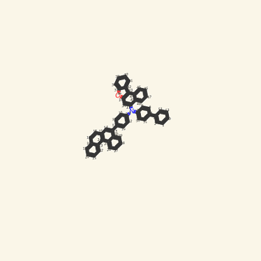 c1ccc(-c2ccc(N(c3ccc(-c4cc5ccc6ccccc6c5c5ccccc45)cc3)c3cc4oc5ccccc5c4c4ccccc34)cc2)cc1